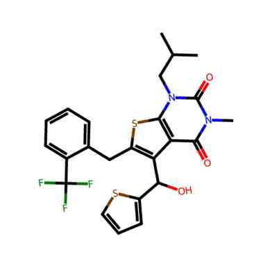 CC(C)Cn1c(=O)n(C)c(=O)c2c(C(O)c3cccs3)c(Cc3ccccc3C(F)(F)F)sc21